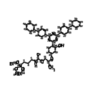 CCO[Si](CCCNC(=O)OCC(C)Oc1ccc(-c2nc(-c3ccc(-c4ccccc4)cc3)nc(-c3ccc(-c4ccccc4)cc3)n2)c(O)c1)(OCC)OCC